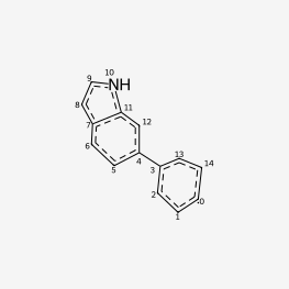 [c]1ccc(-c2ccc3cc[nH]c3c2)cc1